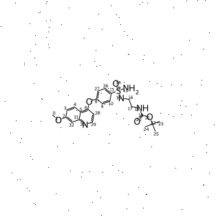 COc1ccc2c(Oc3ccc(S(N)(=O)=NCCNC(=O)OC(C)(C)C)cc3)ccnc2c1